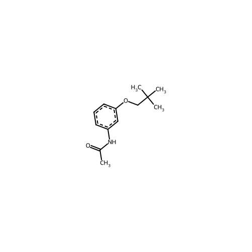 CC(=O)Nc1cccc(OCC(C)(C)C)c1